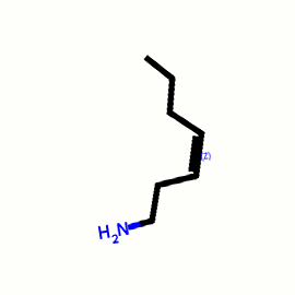 CCC/C=C\CCN